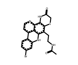 CC(=O)NCCc1c2c(c3nccc4c3c1Nc1cc(Br)ccc1-4)NC(=O)CS2